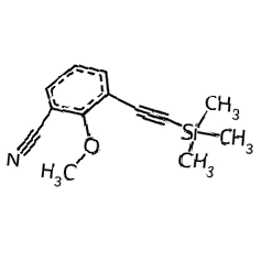 COc1c(C#N)cccc1C#C[Si](C)(C)C